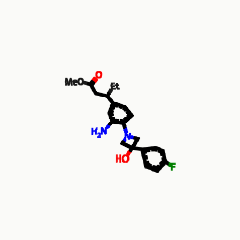 CCC(CC(=O)OC)c1ccc(N2CC(O)(c3ccc(F)cc3)C2)c(N)c1